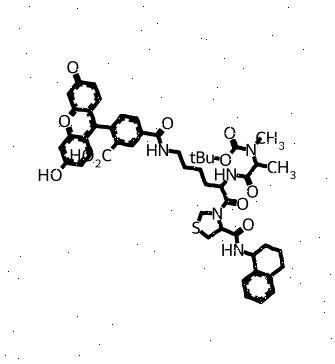 CC(C(=O)NC(CCCCNC(=O)c1ccc(-c2c3ccc(=O)cc-3oc3cc(O)ccc23)c(C(=O)O)c1)C(=O)N1CSCC1C(=O)NC1CCCc2ccccc21)N(C)C(=O)OC(C)(C)C